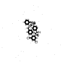 O=S(=O)(Nc1ccc(S(=O)(=O)Nc2ccccc2OCc2ccccc2)cc1)c1cc(Cl)cc(Cl)c1